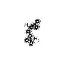 [c]1c(-c2ccc([SiH2]C(c3ccccc3)c3ccccc3)cc2)cccc1-c1ccc([SiH2]C(c2ccccc2)c2ccccc2)cc1